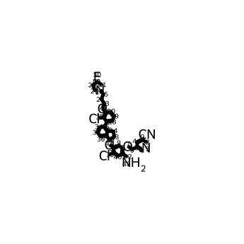 N#Cc1cncc(COc2cc(O[C@H]3CCc4c(-c5cccc(OCCCN6CC[C@@H](F)C6)c5Cl)cccc43)c(Cl)cc2CN)c1